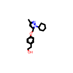 Cc1cc(COc2ccc(CCO)cc2)n(C2CCCCC2)n1